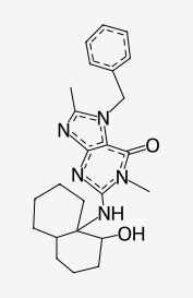 Cc1nc2nc(NC34CCCCC3CCCC4O)n(C)c(=O)c2n1Cc1ccccc1